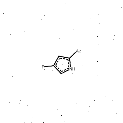 CC(=O)c1cc(F)c[nH]1